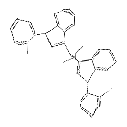 Cc1ccccc1C1[C]=C([Si](C)(C)C2=[C]C(c3ccccc3C)c3ccccc32)c2ccccc21